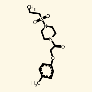 CCCS(=O)(=O)N1CCN(C(=O)COc2ccc(C)cc2)CC1